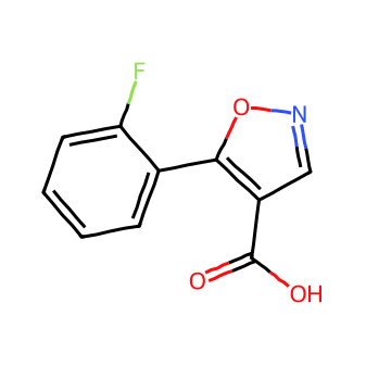 O=C(O)c1cnoc1-c1ccccc1F